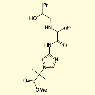 CCCC(NCC(O)C(C)C)C(=O)Nc1cn(C(C)(C)C(=O)OC)cn1